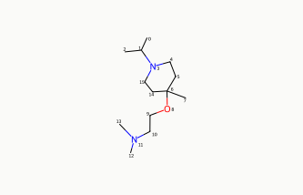 CC(C)N1CCC(C)(OCCN(C)C)CC1